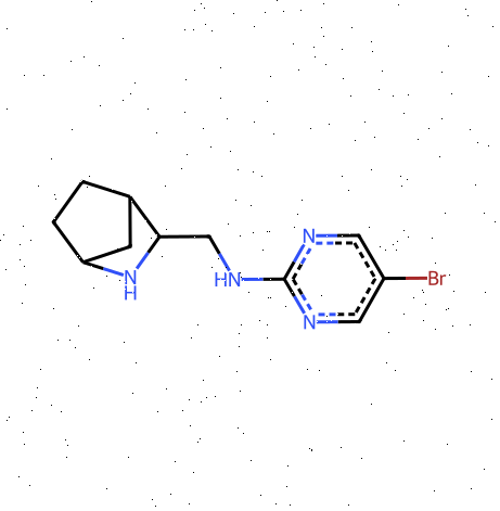 Brc1cnc(NCC2NC3CCC2C3)nc1